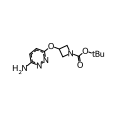 CC(C)(C)OC(=O)N1CC(Oc2ccc(N)nn2)C1